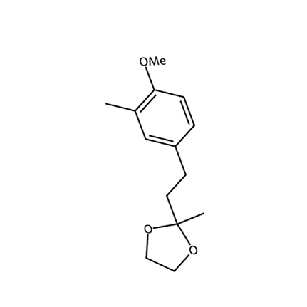 COc1ccc(CCC2(C)OCCO2)cc1C